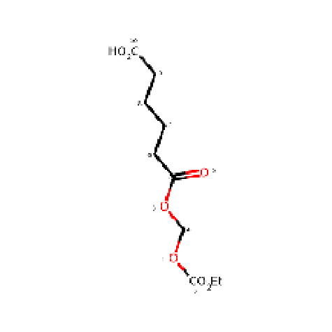 CCOC(=O)OCOC(=O)CCCCC(=O)O